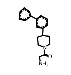 NCC(=O)N1CCC(c2cccc(-c3ccccc3)c2)CC1